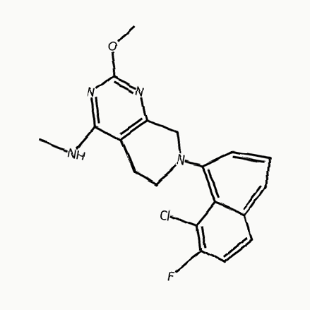 CNc1nc(OC)nc2c1CCN(c1cccc3ccc(F)c(Cl)c13)C2